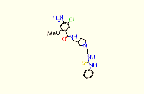 COc1cc(N)c(Cl)cc1C(=O)NCC1CCN(CCNC(=S)Nc2ccccc2)C1